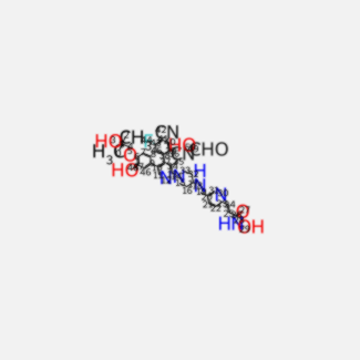 CC(C)(O)COc1ccc(-c2cnc(N3CCC(NCc4ccc(/C=C/C(=O)NO)nc4)CC3)c(CC#N)c2-c2ccc(C#N)c(F)c2)cc1O.O=CO